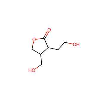 O=C1OCC(CO)C1CCO